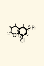 CC(C)c1cc(Cl)c2c(c1)CCCO2